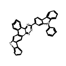 c1ccc(-n2c3ccccc3c3ccc(-c4nnc5c6cc7c(cc6c6ccccc6c5n4)sc4ccccc47)cc32)cc1